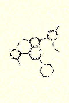 Cc1cc(-c2nc(C)c3c(-c4c(C)nnn4C)cc(N4CCOC[C@H]4C)nn23)n(PI)n1